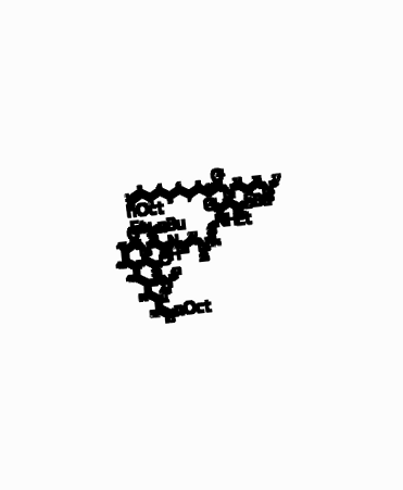 CCCCCCCC/C=C\CCCCCCCC(=O)N(CCCN(C)C)C(C(=O)NCCN(C)CCNC(=O)C(C(CC)CCCC)N(CCCN(C)C)C(=O)CCCCCCC/C=C\CCCCCCCC)C(CC)CCCC